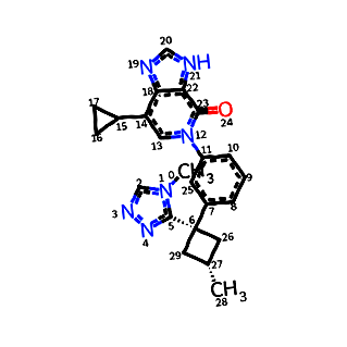 Cn1cnnc1[C@]1(c2cccc(-n3cc(C4CC4)c4nc[nH]c4c3=O)c2)C[C@H](C)C1